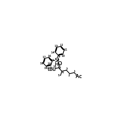 CC(=O)CCCC(C)C(O[SiH](c1ccccc1)c1ccccc1)C(C)(C)C